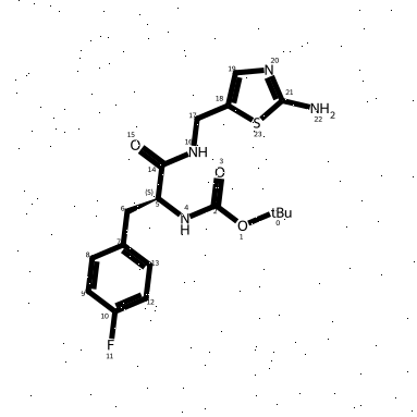 CC(C)(C)OC(=O)N[C@@H](Cc1ccc(F)cc1)C(=O)NCc1cnc(N)s1